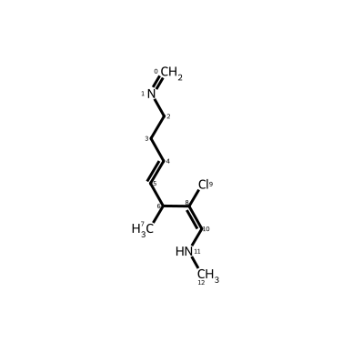 C=NCC/C=C/C(C)/C(Cl)=C\NC